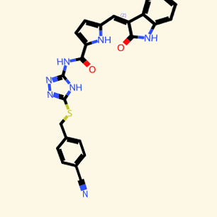 N#Cc1ccc(CSc2nnc(NC(=O)c3ccc(/C=C4\C(=O)Nc5ccccc54)[nH]3)[nH]2)cc1